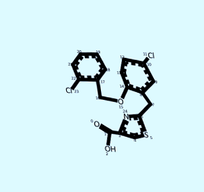 O=C(O)c1csc(Cc2cc(Cl)ccc2OCc2ccccc2Cl)n1